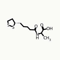 CC(NC(=O)CCCC[C@H]1CCSS1)C(=O)O